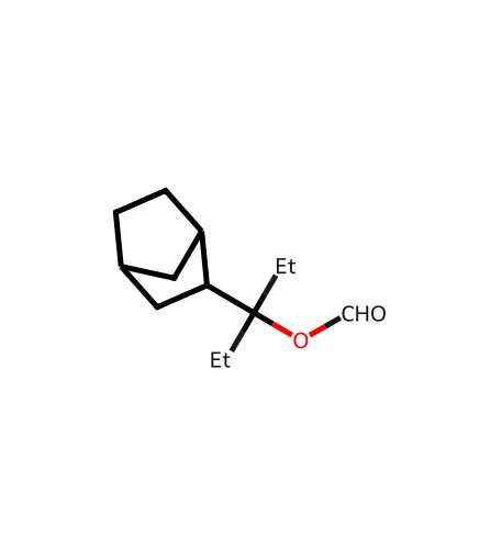 CCC(CC)(OC=O)C1CC2CCC1C2